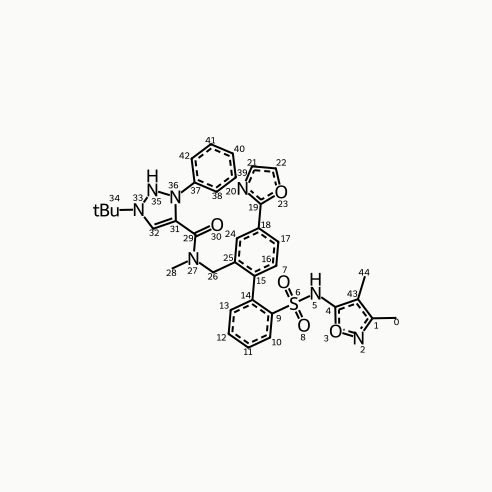 Cc1noc(NS(=O)(=O)c2ccccc2-c2ccc(-c3ncco3)cc2CN(C)C(=O)C2=CN(C(C)(C)C)NN2c2ccccc2)c1C